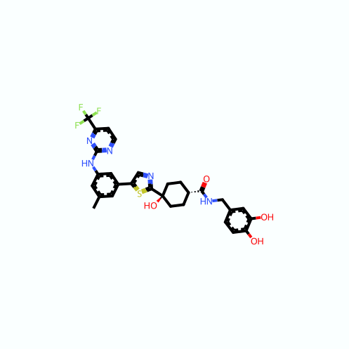 Cc1cc(Nc2nccc(C(F)(F)F)n2)cc(-c2cnc([C@]3(O)CC[C@H](C(=O)NCc4ccc(O)c(O)c4)CC3)s2)c1